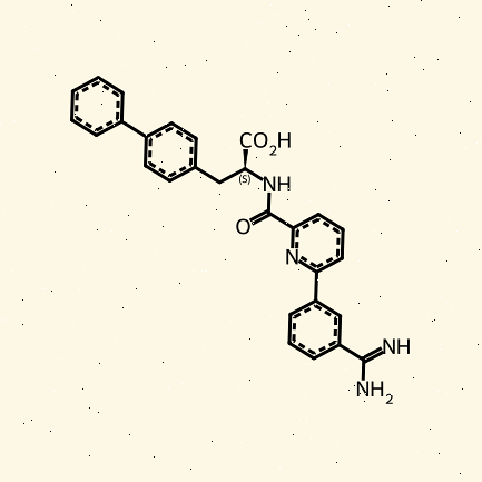 N=C(N)c1cccc(-c2cccc(C(=O)N[C@@H](Cc3ccc(-c4ccccc4)cc3)C(=O)O)n2)c1